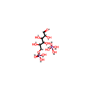 O=CC(O)C(O)C(O)C(O)COP(=O)(O)O.O=P(O)(O)O